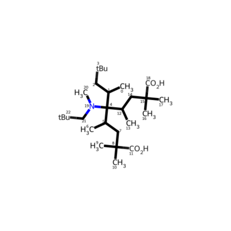 CC(CC(C)(C)C)C(C(C)CC(C)(C)C(=O)O)(C(C)CC(C)(C)C(=O)O)N(C)CC(C)(C)C